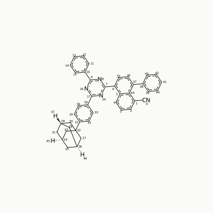 N#Cc1cccc2c(-c3nc(-c4ccccc4)nc(-c4ccc(C56C[C@H]7C[C@H](C5)C[C@@H](C6)C7)cc4)n3)ccc(-c3ccccc3)c12